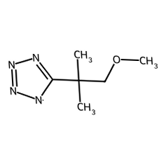 COCC(C)(C)C1=NN=N[N]1